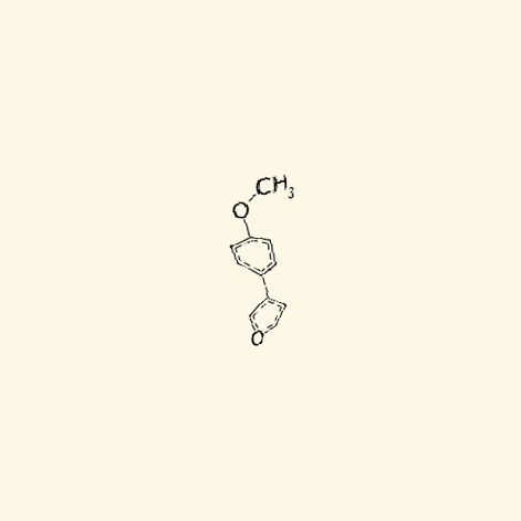 COc1ccc(-c2ccoc2)cc1